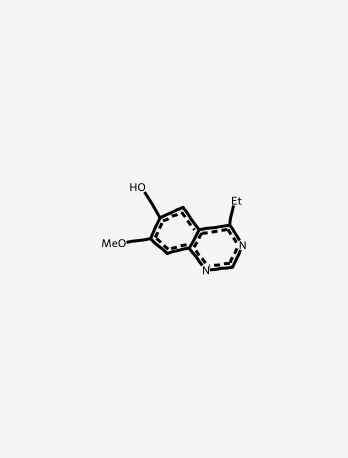 CCc1ncnc2cc(OC)c(O)cc12